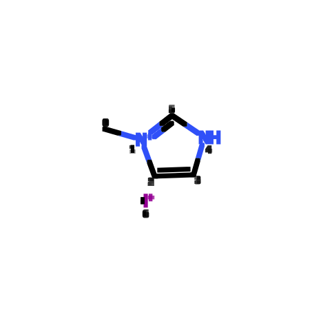 C[n+]1cc[nH]c1.[I+]